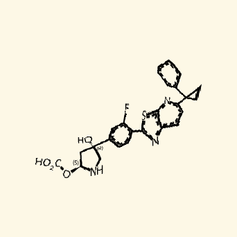 O=C(O)O[C@H]1C[C@@](O)(c2ccc(-c3nc4ccc(C5(c6ccccc6)CC5)nc4s3)c(F)c2)CN1